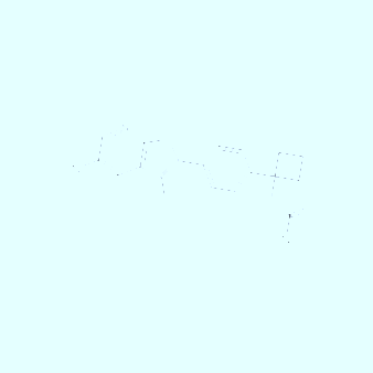 NC(=O)OC1(c2ccc(-c3oc4ncc([N+](=O)[O-])cc4c3I)cc2)CCC1